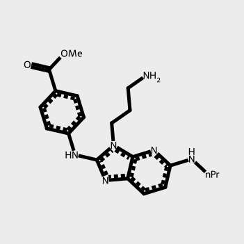 CCCNc1ccc2nc(Nc3ccc(C(=O)OC)cc3)n(CCCN)c2n1